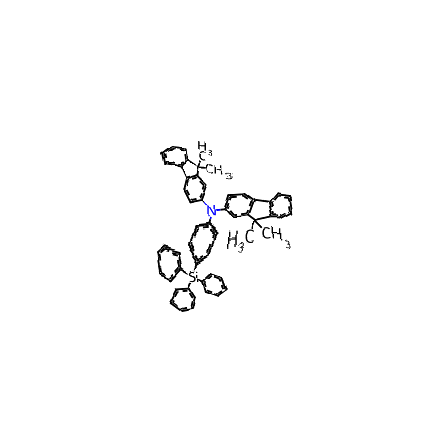 CC1(C)c2ccccc2-c2ccc(N(c3ccc([Si](c4ccccc4)(c4ccccc4)c4ccccc4)cc3)c3ccc4c(c3)C(C)(C)c3ccccc3-4)cc21